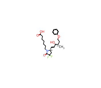 C[C@@H](CCOc1ccccc1)[C@@H](O)C=C[C@H]1CC(F)(F)C(=O)N1CCCCCCC(=O)O